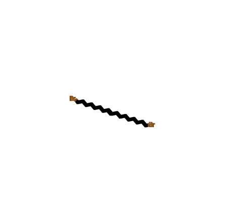 BrCCCCCCCC=CCCCCCCCCBr